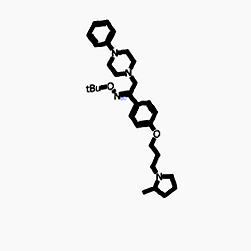 CC1CCCN1CCCOc1ccc(/C(CN2CCN(c3ccccc3)CC2)=N/OC(C)(C)C)cc1